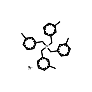 Cc1cccc(C[P+](Cc2cccc(C)c2)(Cc2cccc(C)c2)Cc2cccc(C)c2)c1.[Br-]